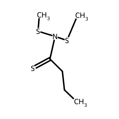 CCCC(=S)N(SC)SC